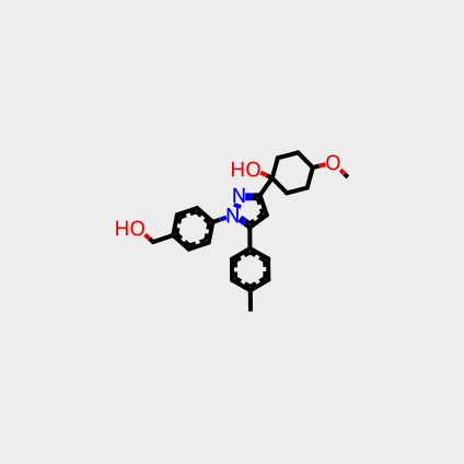 COC1CCC(O)(c2cc(-c3ccc(C)cc3)n(-c3ccc(CO)cc3)n2)CC1